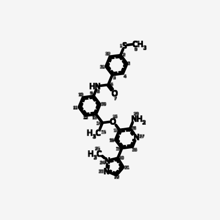 CSc1ccc(C(=O)Nc2cccc(C(C)Oc3cc(-c4ccnn4C)cnc3N)c2)cc1